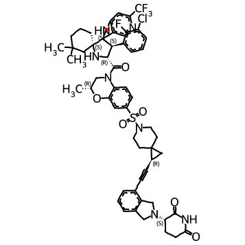 C[C@@H]1CN(C(=O)[C@@H]2N[C@]3(CCCC(C)(C)C3)[C@@]3(CNc4cc(C(F)(F)F)ncc43)[C@H]2c2cccc(Cl)c2F)c2ccc(S(=O)(=O)N3CCC4(CC3)C[C@H]4C#Cc3cccc4c3CN([C@H]3CCC(=O)NC3=O)C4)cc2O1